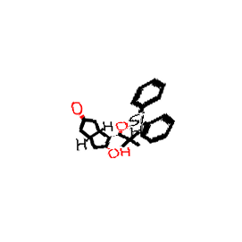 CC(C)(C)C(O[SiH](c1ccccc1)c1ccccc1)[C@H]1[C@H]2CC(=O)C[C@H]2C[C@H]1O